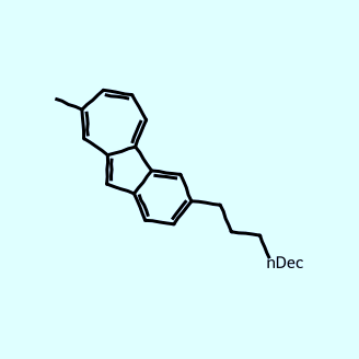 CCCCCCCCCCCCCc1ccc2cc3cc(C)cccc-3c2c1